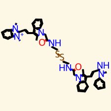 Cc1c(/C=C/C(=N)N(C)c2ccccc2)c2c(n1CC(=O)NCCSSCCNC(=O)Cn1c(C)c(/C=C/c3n(C)c4ccccc4[n+]3C)c3ccccc31)C=C=C=C2